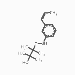 C/C=C\c1cccc(BOC(C)(C)C(C)(C)O)c1